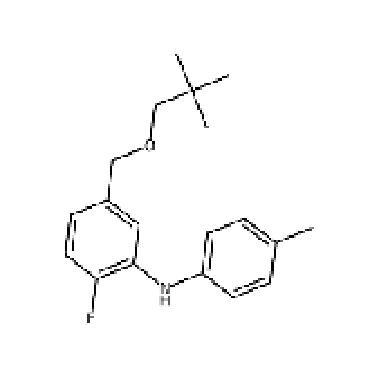 Cc1ccc(Nc2cc(COCC(C)(C)C)ccc2F)cc1